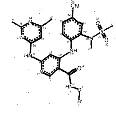 CCONC(=O)c1cnc(Nc2cc(C)nc(C)n2)cc1Nc1ccc(C#N)cc1N(C)S(C)(=O)=O